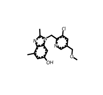 COCc1cnc(Cn2c(C)nc3c(C)cc(O)cc32)c(Cl)c1